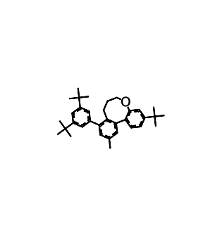 Cc1cc(-c2cc(C(C)(C)C)cc(C(C)(C)C)c2)c2c(c1)-c1ccc(C(C)(C)C)cc1OCCC2